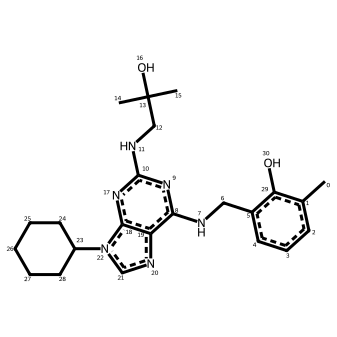 Cc1cccc(CNc2nc(NCC(C)(C)O)nc3c2ncn3C2CCCCC2)c1O